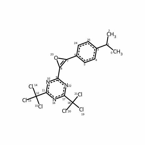 CC(C)c1ccc(C2=C(c3nc(C(Cl)(Cl)Cl)nc(C(Cl)(Cl)Cl)n3)O2)cc1